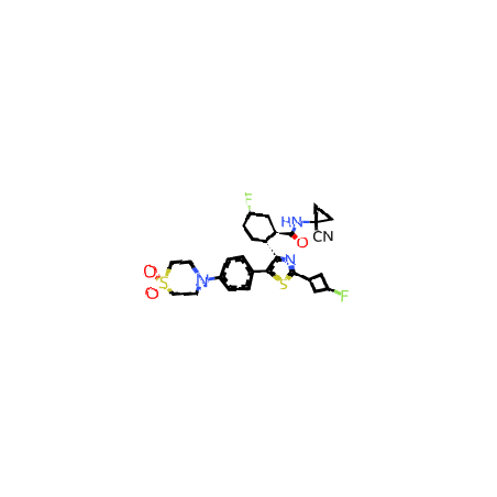 N#CC1(NC(=O)[C@@H]2C[C@@H](F)CC[C@H]2c2nc(C3CC(F)C3)sc2-c2ccc(N3CCS(=O)(=O)CC3)cc2)CC1